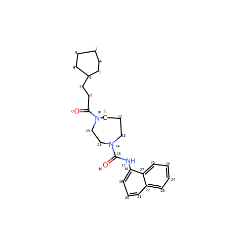 O=C(CCC1CCCCC1)N1CCCN(C(=O)Nc2cccc3ccccc23)CC1